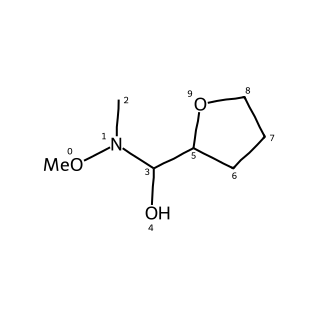 CON(C)C(O)C1CCCO1